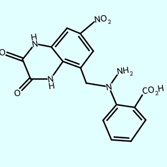 NN(Cc1cc([N+](=O)[O-])cc2[nH]c(=O)c(=O)[nH]c12)c1ccccc1C(=O)O